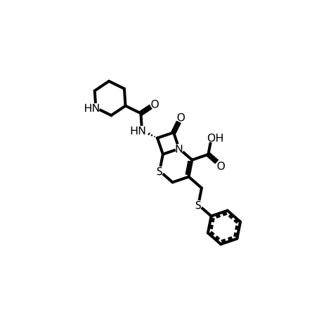 O=C(O)C1=C(CSc2ccccc2)CSC2[C@H](NC(=O)C3CCCNC3)C(=O)N12